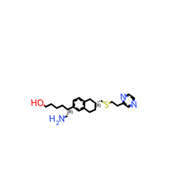 NC[C@H](CCCCO)c1ccc2c(c1)CC[C@@H](CSCCc1cnccn1)C2